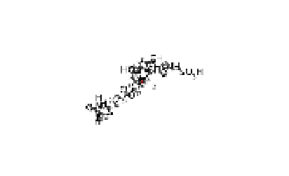 C[C@H](CCC(=O)NCCS(=O)(=O)O)[C@H]1CC[C@H]2[C@@H]3[C@@H](O)CC4C[C@H](OC(=O)CCCC[C@@H]5SC[C@@H]6NC(=O)N[C@@H]65)CC[C@]4(C)[C@H]3CC[C@]12C